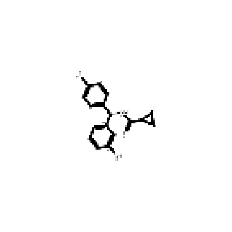 CC(C)c1ccc([C@@H](NC(=O)C2CC2)c2cccc(O)c2)cc1